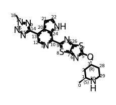 C[C@H]1C[C@H](Oc2nc3sc(-c4ncc(-c5nnn(C)n5)c5cc[nH]c45)nc3s2)CCN1